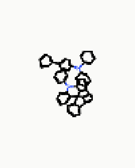 c1ccc(-c2ccc(N(c3ccccc3)c3ccc(-c4cccc5c4C4(c6ccccc6-5)c5ccccc5N(c5ccccc5)c5ccccc54)cc3)cc2)cc1